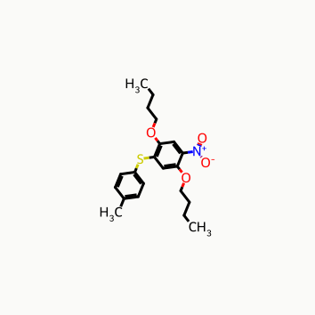 CCCCOc1cc([N+](=O)[O-])c(OCCCC)cc1Sc1ccc(C)cc1